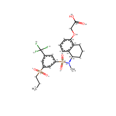 CCCS(=O)(=O)c1cc(C(F)(F)F)cc(S(=O)(=O)N(C)[C@@H]2CCCc3c(OCC(=O)O)cccc32)c1